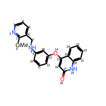 COc1ncccc1CNc1cccc(Oc2cc(=O)[nH]c3ccccc23)c1